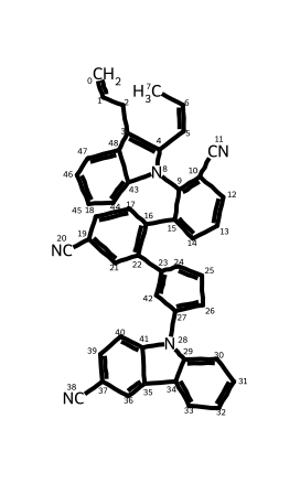 C=CCc1c(/C=C\C)n(-c2c(C#N)cccc2-c2ccc(C#N)cc2-c2cccc(-n3c4ccccc4c4cc(C#N)ccc43)c2)c2ccccc12